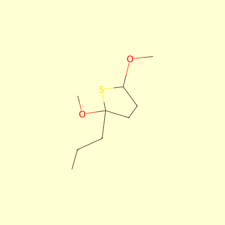 CCCC1(OC)CCC(OC)S1